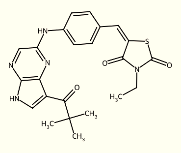 CCN1C(=O)SC(=Cc2ccc(Nc3cnc4[nH]cc(C(=O)C(C)(C)C)c4n3)cc2)C1=O